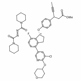 CC#CC(CC(=O)OC)c1ccc(O[C@@H]2CCc3c(-c4cnc(OC5CCOCC5)c(Cl)c4)ccc(F)c32)cc1.O=C(N=NC(=O)N1CCCCC1)N1CCCCC1